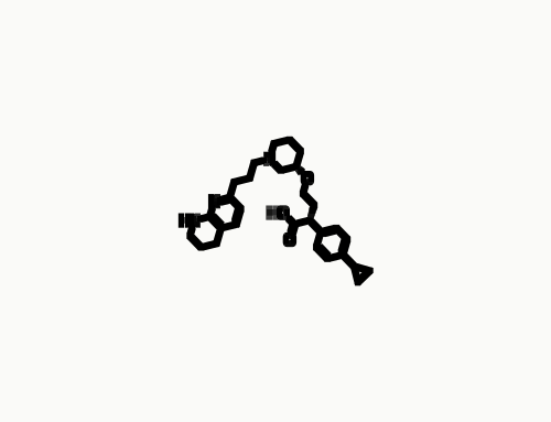 O=C(O)[C@@H](CCO[C@@H]1CCCN(CCCc2ccc3c(n2)NCCC3)C1)c1ccc(C2CC2)cc1